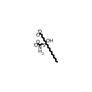 CCCCCCCCCCCC(SC[C@H](N)C(=O)OC)C(O)CCCCC(=O)OC